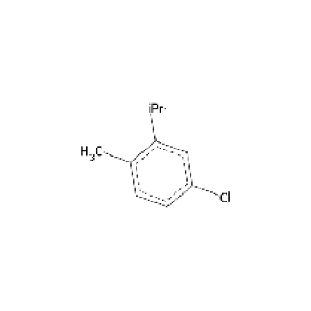 C[C](C)c1cc(Cl)ccc1C